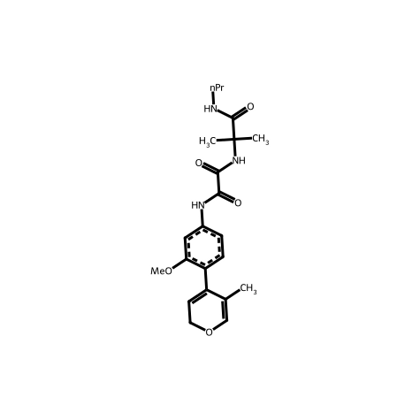 CCCNC(=O)C(C)(C)NC(=O)C(=O)Nc1ccc(C2=CCOC=C2C)c(OC)c1